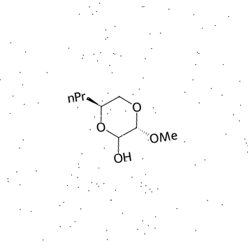 CCC[C@H]1CO[C@H](OC)C(O)O1